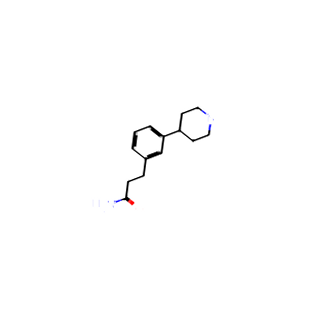 NC(=O)CCc1cccc(C2CCNCC2)c1